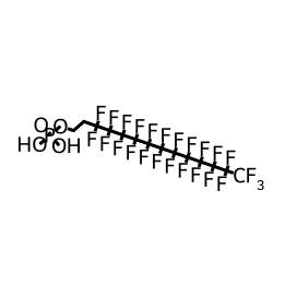 O=P(O)(O)OCCC(F)(F)C(F)(F)C(F)(F)C(F)(F)C(F)(F)C(F)(F)C(F)(F)C(F)(F)C(F)(F)C(F)(F)C(F)(F)C(F)(F)F